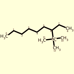 CCCCCCC(CC)[N+](C)(C)C